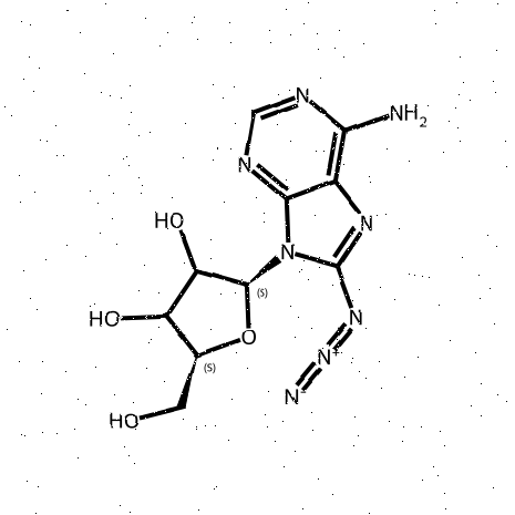 [N-]=[N+]=Nc1nc2c(N)ncnc2n1[C@H]1O[C@@H](CO)C(O)C1O